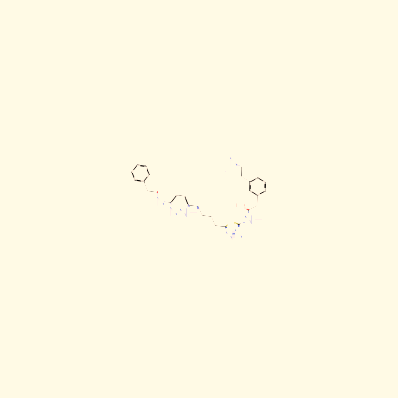 NCCc1cccc(CC(=O)Nc2nnc(CCCCC3=CC=C(NC(=O)Cc4ccccc4)NN3)s2)c1